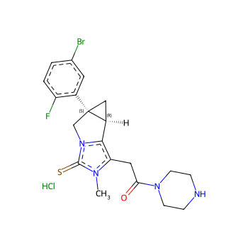 Cl.Cn1c(CC(=O)N2CCNCC2)c2n(c1=S)C[C@@]1(c3cc(Br)ccc3F)C[C@@H]21